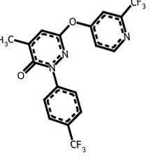 Cc1cc(Oc2ccnc(C(F)(F)F)c2)nn(-c2ccc(C(F)(F)F)cc2)c1=O